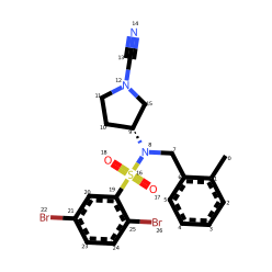 Cc1ccccc1CN([C@@H]1CCN(C#N)C1)S(=O)(=O)c1cc(Br)ccc1Br